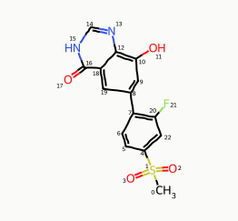 CS(=O)(=O)c1ccc(-c2cc(O)c3nc[nH]c(=O)c3c2)c(F)c1